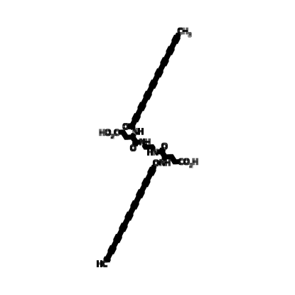 C#CC#CC#CC#CC#CC#CC#CC#CC#CONC(CCC(=O)O)C(=O)NCCNC(=O)C(CCC(=O)O)NC(=O)C#CC#CC#CC#CC#CC#CC#CC#CC